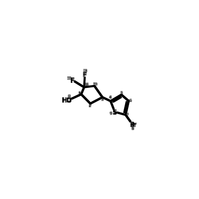 OC1CC(c2ccc(Br)s2)CC1(F)F